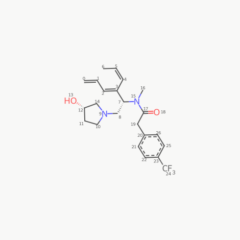 C=C/C=C(\C=C/C)[C@@H](CN1CC[C@H](O)C1)N(C)C(=O)Cc1ccc(C(F)(F)F)cc1